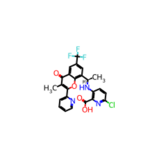 Cc1c(-c2ccccn2)oc2c([C@@H](C)Nc3ccc(Cl)nc3C(=O)O)cc(C(F)(F)F)cc2c1=O